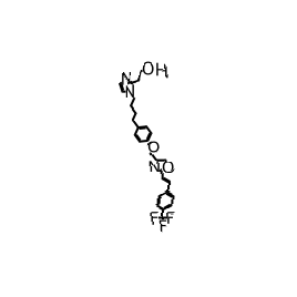 OCCc1nccn1CCCCc1ccc(OCc2coc(/C=C/c3ccc(C(F)(F)F)cc3)n2)cc1